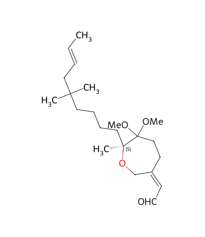 CC=CCC(C)(C)CCCC[C@]1(C)OCC(=CC=O)CCC1(OC)OC